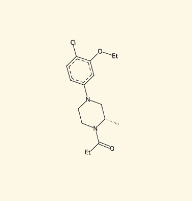 CCOc1cc(N2CCN(C(=O)CC)[C@@H](C)C2)ccc1Cl